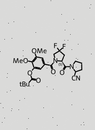 COc1cc(C(=O)N2CC(F)(F)C[C@H]2C(=O)N2CCCC2C#N)cc(OC(=O)C(C)(C)C)c1OC